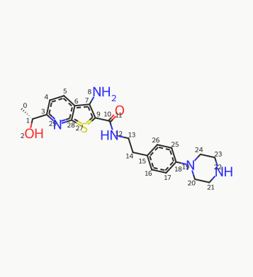 C[C@@H](O)c1ccc2c(N)c(C(=O)NCCc3ccc(N4CCNCC4)cc3)sc2n1